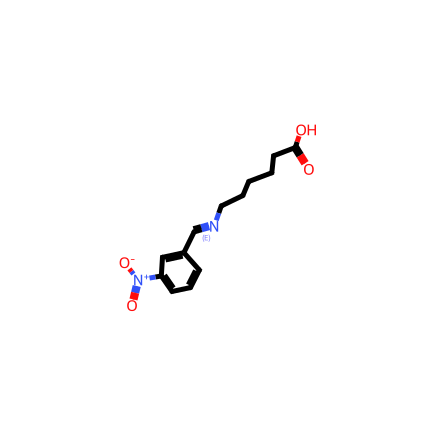 O=C(O)CCCCC/N=C/c1cccc([N+](=O)[O-])c1